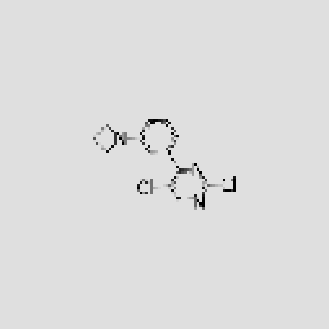 Clc1ncc(Cl)c(-c2cccc(N3CCC3)c2)n1